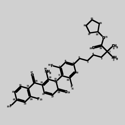 CC(N)(CCCCc1cc(F)c(-n2c(N)c(C(=O)c3ccc(F)cc3F)ccc2=O)c(F)c1)C(=O)OC1CCCC1